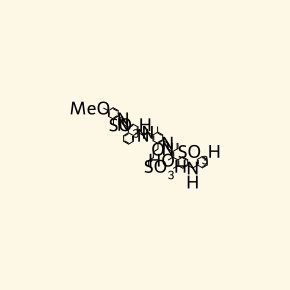 C=C(/C(N=Nc1cc(C)c(N=Nc2ccc(N=Nc3ccc(OC)cc3S(=O)(=O)O)c3ccccc23)cc1OCCCS(=O)(=O)O)=C(/O)c1ccc(Nc2ccccc2)cc1C)S(=O)(=O)O